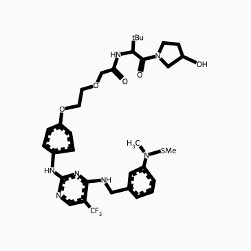 CSN(C)c1cccc(CNc2nc(Nc3ccc(OCCOCC(=O)NC(C(=O)N4CCC(O)C4)C(C)(C)C)cc3)ncc2C(F)(F)F)c1